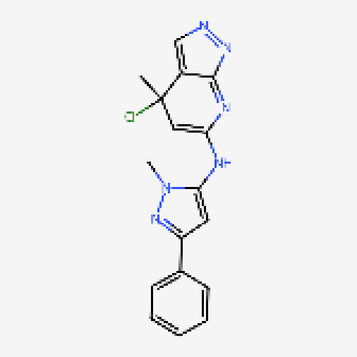 Cn1nc(-c2ccccc2)cc1NC1=CC(C)(Cl)C2=CN=NC2=N1